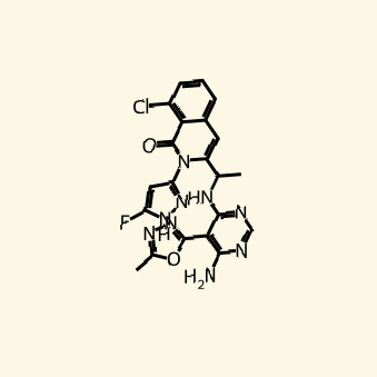 Cc1nnc(-c2c(N)ncnc2NC(C)c2cc3cccc(Cl)c3c(=O)n2-c2cc(F)[nH]n2)o1